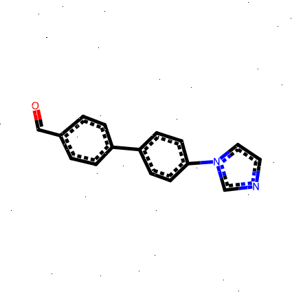 O=Cc1ccc(-c2ccc(-n3ccnc3)cc2)cc1